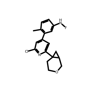 Cc1ccc(NF)cc1-c1cc(Cl)nc(C23CCOCC2C3)c1